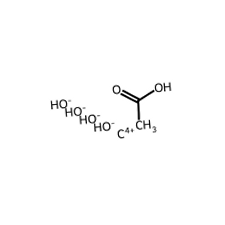 CC(=O)O.[C+4].[OH-].[OH-].[OH-].[OH-]